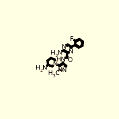 Cn1ncc(NC(=O)c2nc(-c3ccccc3F)cnc2N)c1N1CCCC(N)C1